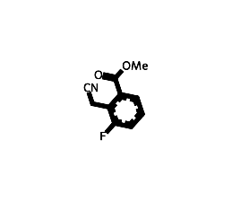 COC(=O)c1cccc(F)c1CC#N